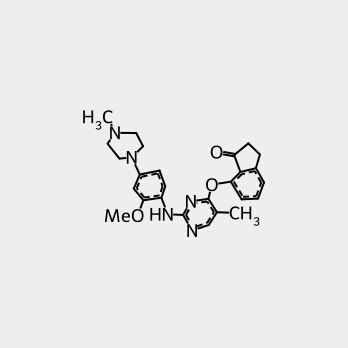 COc1cc(N2CCN(C)CC2)ccc1Nc1ncc(C)c(Oc2cccc3c2C(=O)CC3)n1